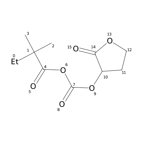 CCC(C)(C)C(=O)OC(=O)OC1CCOC1=O